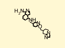 Nc1nccc2c(NCc3ccc(OCC4CCn5ccnc5C4)nc3)cccc12